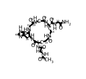 CC(=O)NCC(=O)N[C@H]1CCC(=O)NCC[C@@H](C(=O)NCC(N)=O)NC(=O)CNC(=O)CNC(=O)[C@H](Cc2c[nH]cn2)NC1=O